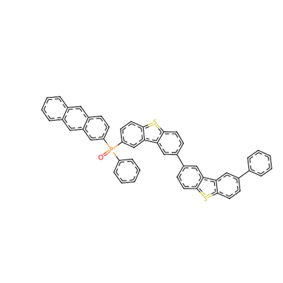 O=P(c1ccccc1)(c1ccc2cc3ccccc3cc2c1)c1ccc2sc3ccc(-c4ccc5sc6ccc(-c7ccccc7)cc6c5c4)cc3c2c1